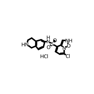 Cl.O=S(=O)(Nc1ccc2c(c1)CCNC2)C1=CC=C(Cl)N2ONC=C12